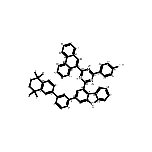 CC1(C)CCC(C)(C)c2cc(-c3cccc(-c4cc(-c5nc(-c6ccc(F)cc6)nc(-c6cc7ccccc7c7ccccc67)n5)c5c(c4)oc4ccccc45)c3)ccc21